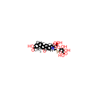 C[C@]1(C(=O)O)CC[C@]2(C)CC[C@]3(C)C(=CC(=O)[C@@H]4[C@@]5(C)CC[C@@H]6N(CCS[C@@H]7O[C@H](C(=O)O)[C@@H](O)[C@H](O)[C@H]7O)C(O)(CCC(=O)O)C[C@@]6(C)C5CC[C@]43C)[C@@H]2C1